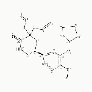 C=CCC1(CC=C)C[C@@H](c2ccc(OC)c(OC3CCCC3)c2)CNC1=O